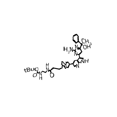 CC(C)(C)OC(=O)NCCNC(=O)CCn1cc(-c2cnc3[nH]cc(-c4cc(C(C)(O)c5ccccc5)nc(N)n4)c3c2)cn1